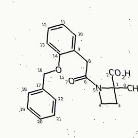 CC1(C(=O)O)CCN1C(=O)Cc1ccccc1OCc1ccccc1